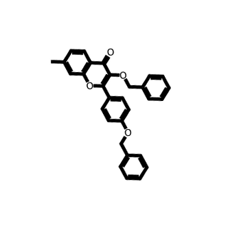 Cc1ccc2c(=O)c(OCc3ccccc3)c(-c3ccc(OCc4ccccc4)cc3)oc2c1